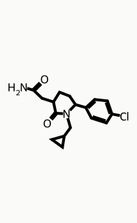 NC(=O)CC1CCC(c2ccc(Cl)cc2)N(CC2CC2)C1=O